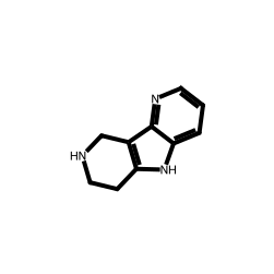 [c]1ccc2[nH]c3c(c2n1)CNCC3